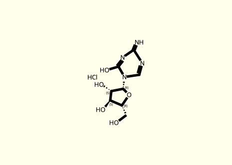 Cl.N=c1ncn([C@@H]2O[C@H](CO)[C@@H](O)[C@@H]2O)c(O)n1